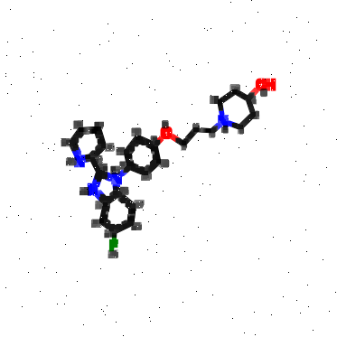 OC1CCN(CCCOc2ccc(-n3c(-c4ccccn4)nc4cc(F)ccc43)cc2)CC1